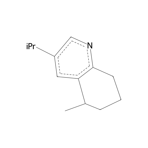 CC(C)c1cnc2c(c1)C(C)CCC2